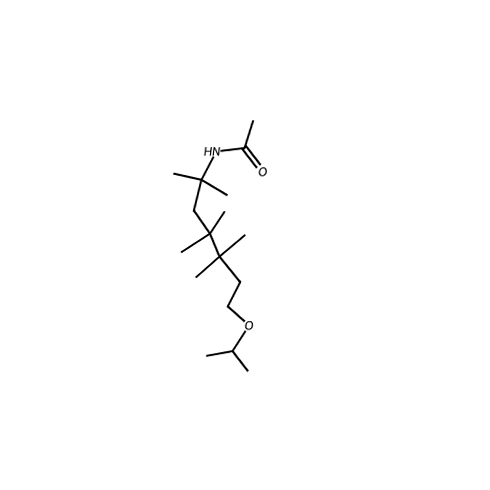 CC(=O)NC(C)(C)CC(C)(C)C(C)(C)CCOC(C)C